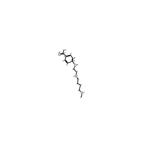 COCCCCOCCOc1ccc(C(C)=O)cc1